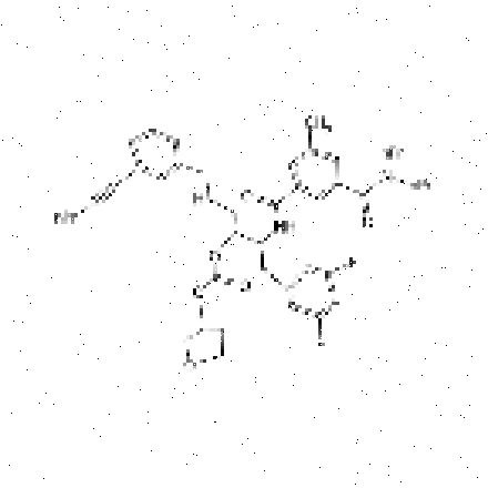 CCCC#Cc1cccc(CNC[C@@H](OC(=O)OC2CCOC2)[C@H](Cc2cc(F)cc(F)c2)NC(=O)c2cc(C)cc(C(=O)N(CCC)CCC)c2)c1